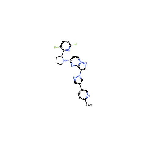 COc1ccc(-c2cnn(-c3cnn4ccc(N5CCCC5c5nc(F)ccc5F)nc34)c2)cn1